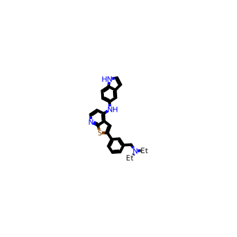 CCN(CC)Cc1cccc(-c2cc3c(Nc4ccc5[nH]ccc5c4)ccnc3s2)c1